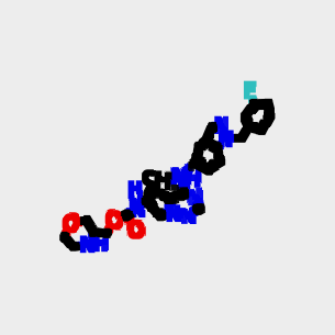 Cc1c(NC(=O)OCC2COCCN2)cn2ncnc(Nc3ccc4c(cnn4Cc4cccc(F)c4)c3)c12